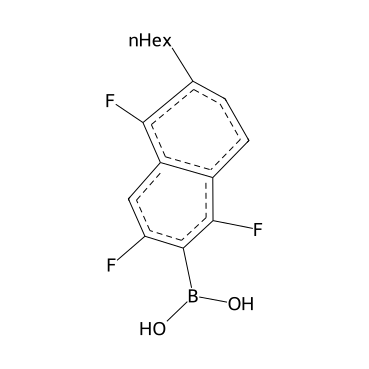 CCCCCCc1ccc2c(F)c(B(O)O)c(F)cc2c1F